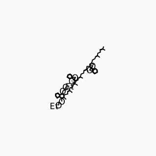 CCOCOc1c(C)c(C/C=C(\C)CC/C=C(\C)C(C/C=C(\C)CC/C=C(\C)CC(/C=C(\C)CC/C=C(\C)CCC=C(C)C)S(=O)(=O)c2ccccc2)S(=O)(=O)c2ccccc2)c(OCOCC)c2ccccc12